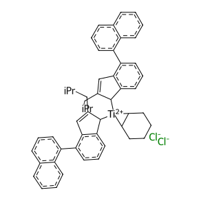 CC(C)CC1=Cc2c(-c3cccc4ccccc34)cccc2[CH]1[Ti+2]1([CH]2C(CC(C)C)=Cc3c(-c4cccc5ccccc45)cccc32)[CH]2CCCC[CH]21.[Cl-].[Cl-]